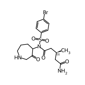 C[C@@H](CC(N)=O)CC(=O)N(C1CCCNCC1=O)S(=O)(=O)c1ccc(Br)cc1